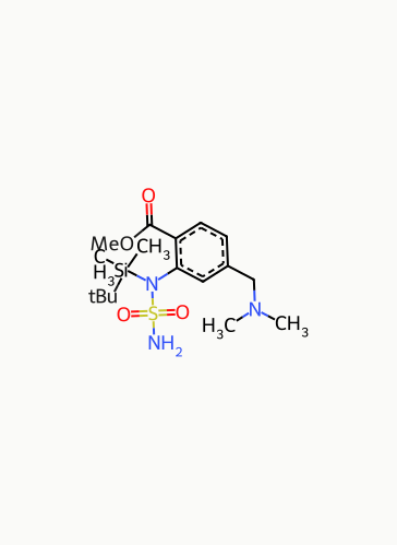 COC(=O)c1ccc(CN(C)C)cc1N([Si](C)(C)C(C)(C)C)S(N)(=O)=O